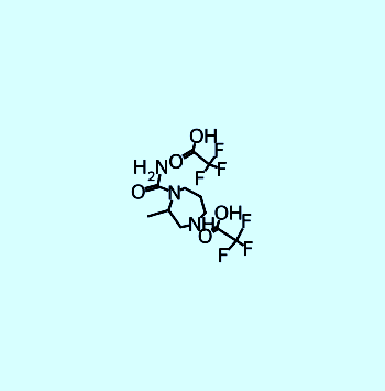 CC1CNCCCN1C(N)=O.O=C(O)C(F)(F)F.O=C(O)C(F)(F)F